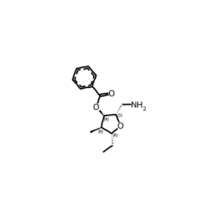 CC[C@H]1O[C@@H](CN)[C@H](OC(=O)c2ccccc2)[C@@H]1C